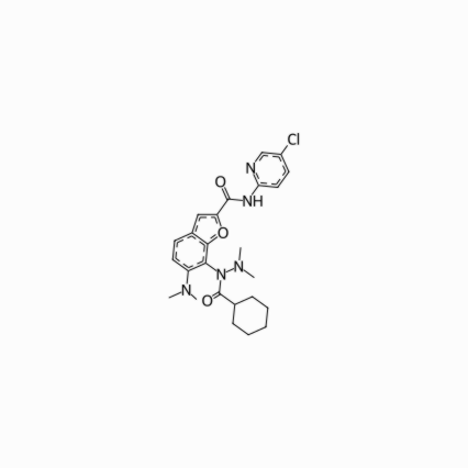 CN(C)c1ccc2cc(C(=O)Nc3ccc(Cl)cn3)oc2c1N(C(=O)C1CCCCC1)N(C)C